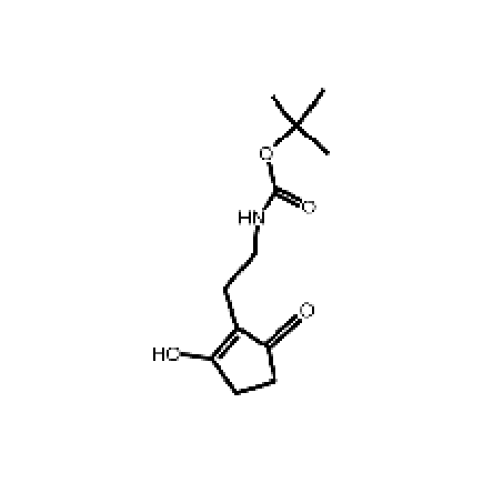 CC(C)(C)OC(=O)NCCC1=C(O)CCC1=O